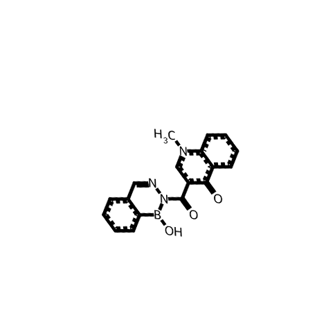 Cn1cc(C(=O)N2N=Cc3ccccc3B2O)c(=O)c2ccccc21